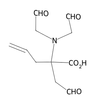 C=CCC(CC=O)(C(=O)O)N(CC=O)CC=O